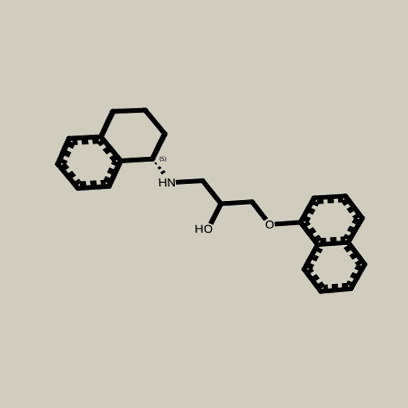 OC(CN[C@H]1CCCc2ccccc21)COc1cccc2ccccc12